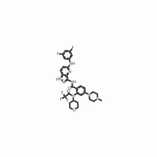 CN1CCN(c2ccc(C(=O)Nc3n[nH]c4ccc(Nc5cc(F)cc(F)c5)nc34)c(N(C(=O)C(F)(F)F)C3CCOCC3)c2)CC1